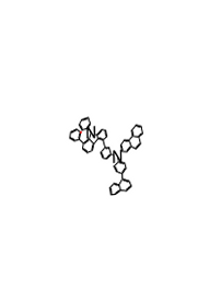 c1ccc(-c2cccc3c4c(-c5cccc(N(c6ccc(-c7cccc8ccccc78)cc6)c6ccc7c(ccc8ccccc87)c6)c5)cccc4n(-c4ccccc4)c23)cc1